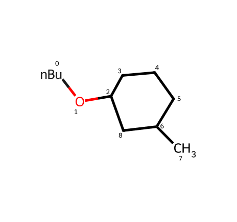 CCCCOC1CCCC(C)C1